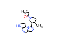 CCC(=O)N1CC[C@@H](C)[C@@H](c2ncc3cnc4[nH]ccc4n23)C1